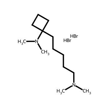 Br.Br.CN(C)CCCCCC1(N(C)C)CCC1